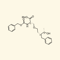 COC(=O)[C@H](COCC[C@@H](Cc1ccccc1)[C@H](C)O)NC(=O)OCc1ccccc1